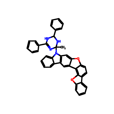 CC1(n2c3ccccc3c3cc4c(cc32)oc2ccc3c5ccccc5oc3c24)N=C(c2ccccc2)NC(c2ccccc2)N1